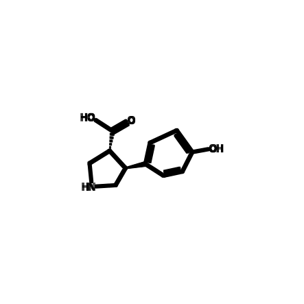 O=C(O)[C@H]1CNC[C@@H]1c1ccc(O)cc1